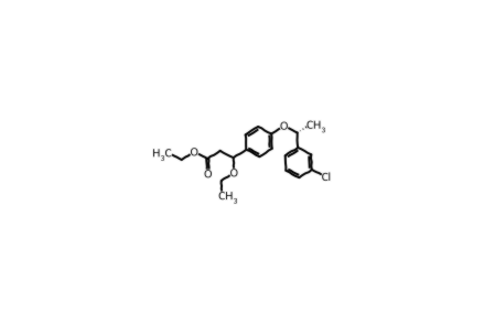 CCOC(=O)CC(OCC)c1ccc(O[C@H](C)c2cccc(Cl)c2)cc1